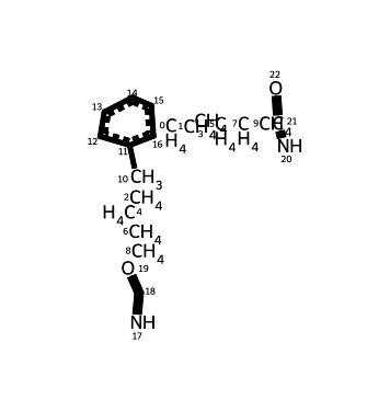 C.C.C.C.C.C.C.C.C.C.Cc1ccccc1.N=C=O.N=C=O